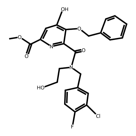 COC(=O)c1cc(O)c(OCc2ccccc2)c(C(=O)N(CCO)Cc2ccc(F)c(Cl)c2)n1